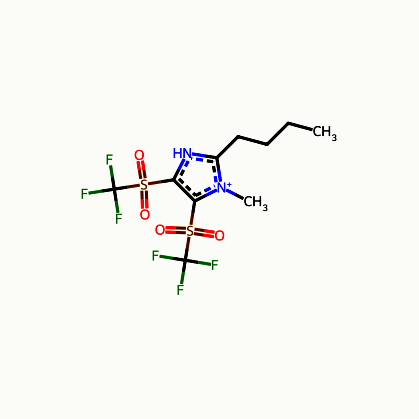 CCCCc1[nH]c(S(=O)(=O)C(F)(F)F)c(S(=O)(=O)C(F)(F)F)[n+]1C